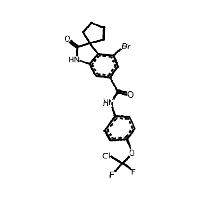 O=C(Nc1ccc(OC(F)(F)Cl)cc1)c1cc(Br)c2c(c1)NC(=O)C21CCCC1